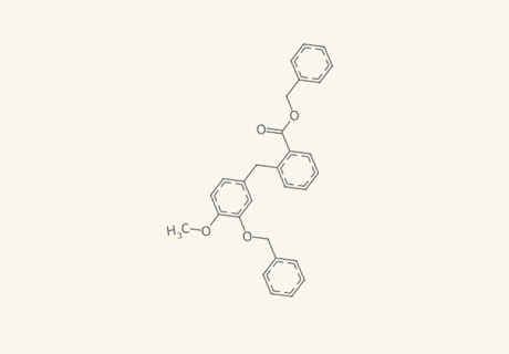 COc1ccc(Cc2ccccc2C(=O)OCc2ccccc2)cc1OCc1ccccc1